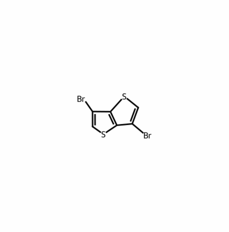 Brc1csc2c(Br)csc12